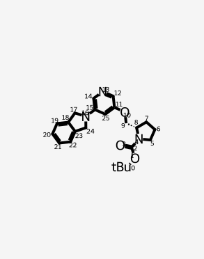 CC(C)(C)OC(=O)N1CCC[C@H]1COc1cncc(N2Cc3ccccc3C2)c1